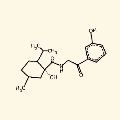 CC1CCC(C(C)C)[C@@](O)(C(=O)NCC(=O)c2cccc(O)c2)C1